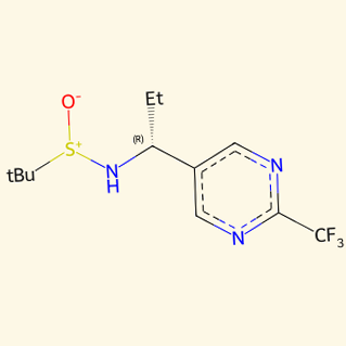 CC[C@@H](N[S+]([O-])C(C)(C)C)c1cnc(C(F)(F)F)nc1